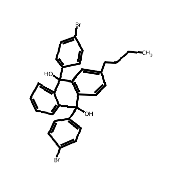 CCCCc1ccc2c(c1)C(O)(c1ccc(Br)cc1)c1ccccc1C2(O)c1ccc(Br)cc1